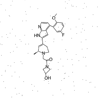 COc1ccc(F)cc1-c1ccnc2[nH]c(C3=C[C@H](C)N(CC(=O)N4CC(O)C4)CC3)cc12